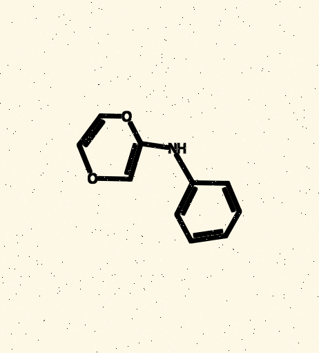 C1=COC(Nc2ccccc2)=CO1